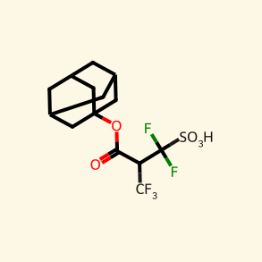 O=C(OC12CC3CC(CC(C3)C1)C2)C(C(F)(F)F)C(F)(F)S(=O)(=O)O